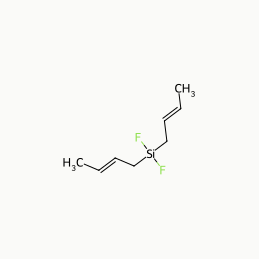 C/C=C/C[Si](F)(F)C/C=C/C